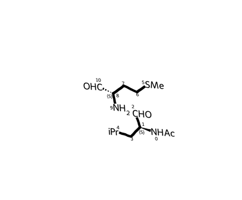 CC(=O)N[C@H](C=O)CC(C)C.CSCC[C@H](N)C=O